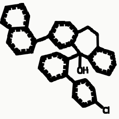 OC1(c2ccccc2-c2ccc(Cl)cc2)c2ccccc2CCc2ccc(-c3cccc4ccccc34)cc21